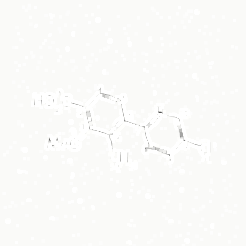 COc1c(C(=O)O)ccc(-c2ccc(Cl)cc2)c1C